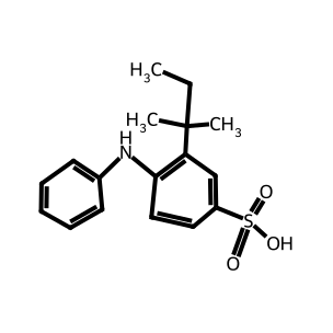 CCC(C)(C)c1cc(S(=O)(=O)O)ccc1Nc1ccccc1